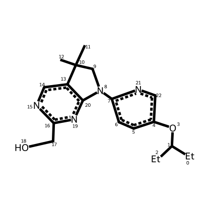 CCC(CC)Oc1ccc(N2CC(C)(C)c3cnc(CO)nc32)nc1